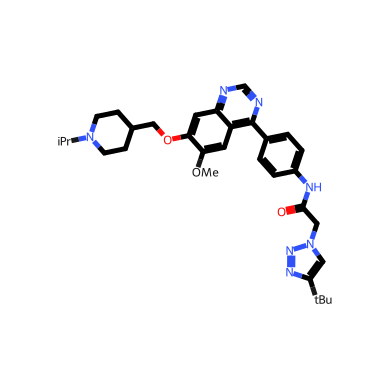 COc1cc2c(-c3ccc(NC(=O)Cn4cc(C(C)(C)C)nn4)cc3)ncnc2cc1OCC1CCN(C(C)C)CC1